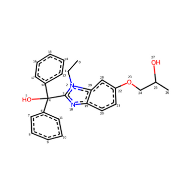 CCn1c(C(O)(c2ccccc2)c2ccccc2)nc2ccc(OCC(C)O)cc21